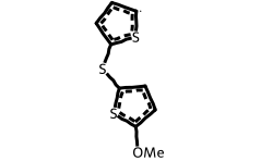 COc1ccc(Sc2cc[c]s2)s1